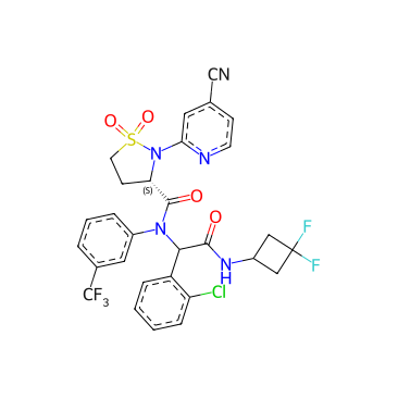 N#Cc1ccnc(N2[C@H](C(=O)N(c3cccc(C(F)(F)F)c3)C(C(=O)NC3CC(F)(F)C3)c3ccccc3Cl)CCS2(=O)=O)c1